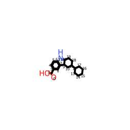 O=C(O)c1ccc2c(c1)C1CC(C3CCCCC3)CCC1N2